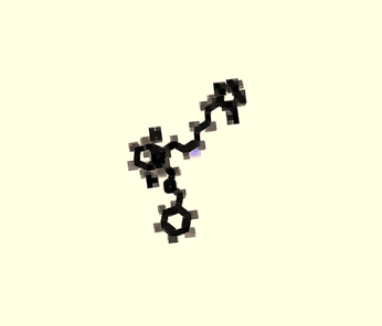 C(=C/C[C@H]1[C@@H](COCc2ccccc2)[C@H]2CC[C@@H]1O2)/CCCc1nnn[nH]1